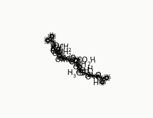 C=C1C[C@@H](C2OCCN2C(=O)OCC2c3ccccc3-c3ccccc32)N(C(=O)c2cc(OC)c(OCCCCCOc3cc(NC(=O)OCC(C)(C)SSCCC(=O)NCCNC(=O)OCC4c5ccccc5-c5ccccc54)c(C(=O)O)cc3OC)cc2N)C1